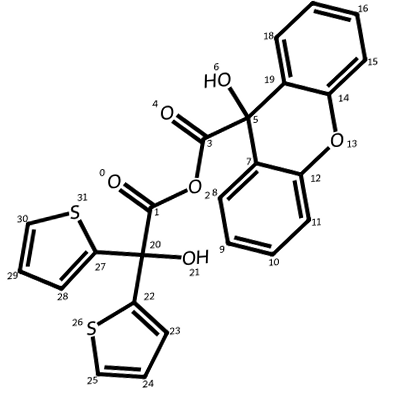 O=C(OC(=O)C1(O)c2ccccc2Oc2ccccc21)C(O)(c1cccs1)c1cccs1